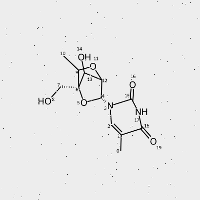 Cc1cn([C@@H]2O[C@@]3(CO)C(C)OC2C3O)c(=O)[nH]c1=O